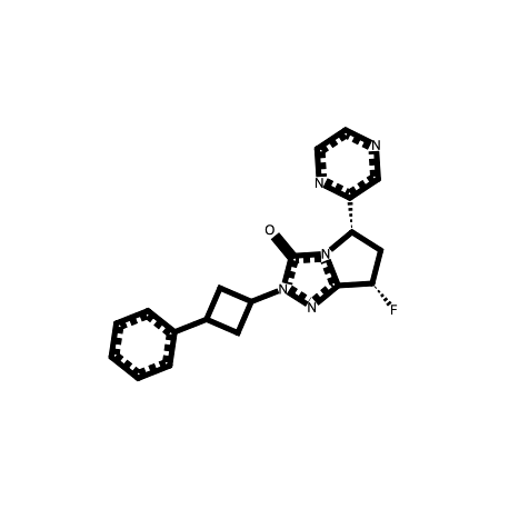 O=c1n(C2CC(c3ccccc3)C2)nc2n1[C@H](c1cnccn1)C[C@@H]2F